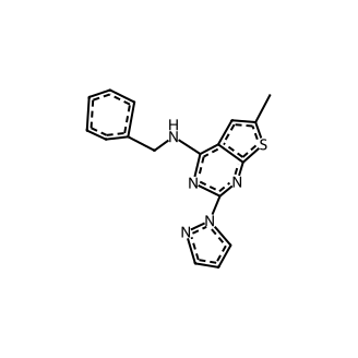 Cc1cc2c(NCc3ccccc3)nc(-n3cccn3)nc2s1